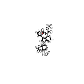 CC(C)(C)OC(=O)N(C(=O)O)c1ncnc2c1c(-c1ccco1)cn2[C@@H]1S[C@H](CO)[C@H]2OC(C)(C)O[C@H]21